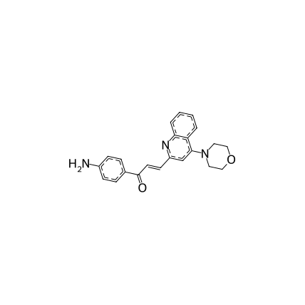 Nc1ccc(C(=O)C=Cc2cc(N3CCOCC3)c3ccccc3n2)cc1